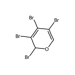 BrC1=COC(Br)C(Br)=C1Br